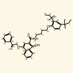 CCC(C)(C)c1ccc(OCCCCNC(=O)c2cc(OCC(=S)c3ccccc3)c3ccccc3c2O)c(C(C)(C)CC)c1